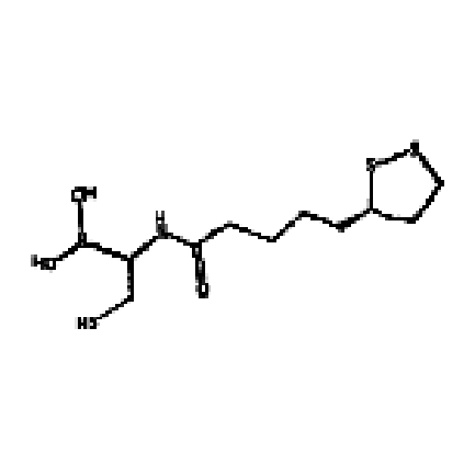 O=C(CCCC[C@@H]1CCSS1)NC(CS)B(O)O